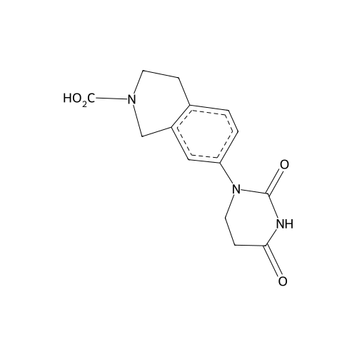 O=C1CCN(c2ccc3c(c2)CN(C(=O)O)CC3)C(=O)N1